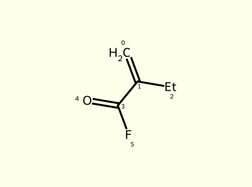 C=C(CC)C(=O)F